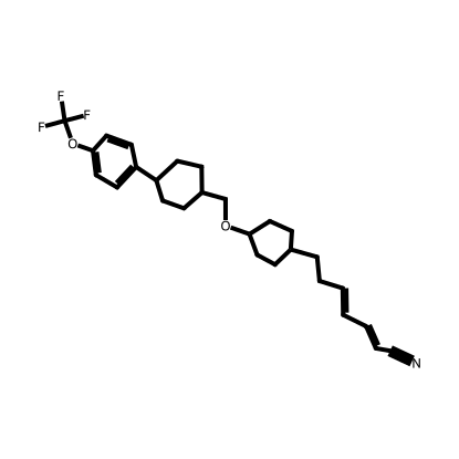 N#CC=CC=CCCC1CCC(OCC2CCC(c3ccc(OC(F)(F)F)cc3)CC2)CC1